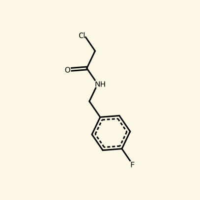 O=C(CCl)NCc1ccc(F)cc1